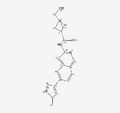 Cn1cc(-c2ccc3cnc(NC(=O)C45CC(CO)(C4)C5)cc3c2)cn1